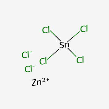 [Cl-].[Cl-].[Cl][Sn]([Cl])([Cl])[Cl].[Zn+2]